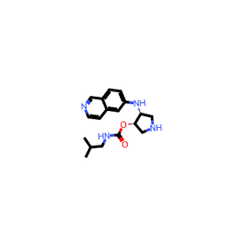 CC(C)CNC(=O)O[C@H]1CNC[C@H]1Nc1ccc2cnccc2c1